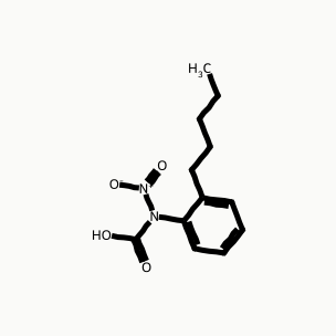 CCCCCc1ccccc1N(C(=O)O)[N+](=O)[O-]